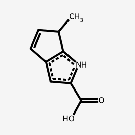 CC1C=Cc2cc(C(=O)O)[nH]c21